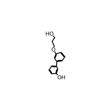 OCCCOc1cccc(-c2cccc(O)c2)c1